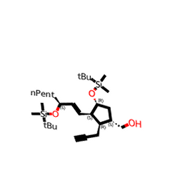 C#CC[C@@H]1[C@@H](CO)C[C@@H](O[Si](C)(C)C(C)(C)C)[C@@H]1C=C[C@H](CCCCC)O[Si](C)(C)C(C)(C)C